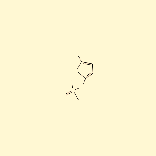 CCP(=O)(CC)Oc1ccc(C(C)=O)s1